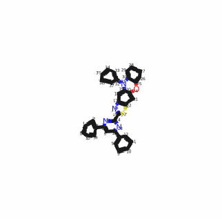 c1ccc(-c2cc(-c3ccccc3)nc(-c3nc4cc5c(cc4s3)Oc3ccccc3N5c3ccccc3)n2)cc1